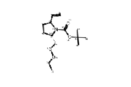 C=CC1CC[C@@H](COOCC)N1C(=O)OC(C)(C)C